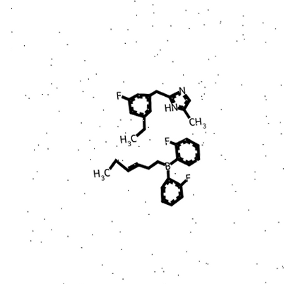 CCC=CCCB(c1ccccc1F)c1ccccc1F.CCc1cc(F)cc(Cc2ncc(C)[nH]2)c1